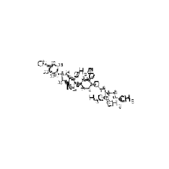 CCCN(CCOc1ccc(-n2cnn3cc(-c4ccc(Cl)cc4)cc3c2=O)cc1OC)C(C)C